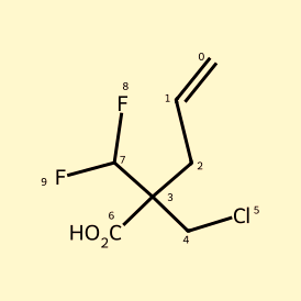 C=CCC(CCl)(C(=O)O)C(F)F